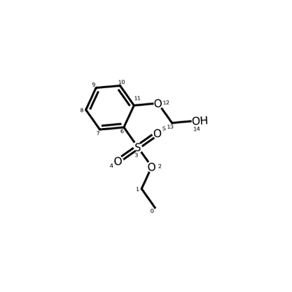 CCOS(=O)(=O)c1ccccc1OCO